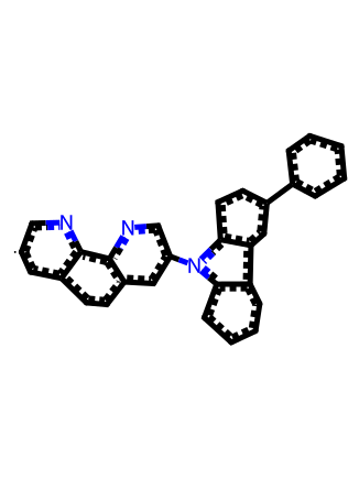 [c]1cnc2c(c1)ccc1cc(-n3c4ccccc4c4cc(-c5ccccc5)ccc43)cnc12